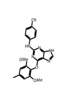 COc1cc(C)cc(OC)c1Oc1nc(Nc2ccc(C#N)cc2)nc2[nH]cnc12